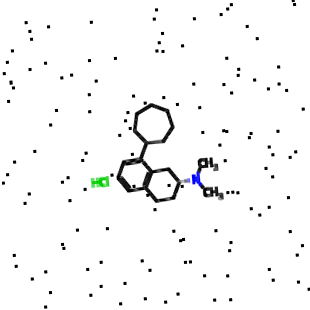 CN(C)[C@@H]1CCc2cccc(C3CCCCCC3)c2C1.Cl